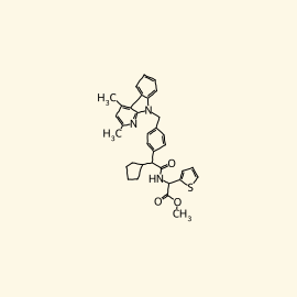 COC(=O)C(NC(=O)C(c1ccc(Cn2c3ccccc3c3c(C)cc(C)nc32)cc1)C1CCCC1)c1cccs1